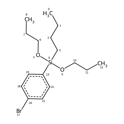 CCCC[Si](OCCC)(OCCC)c1ccc(Br)cc1